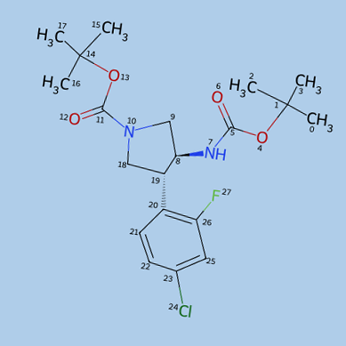 CC(C)(C)OC(=O)N[C@@H]1CN(C(=O)OC(C)(C)C)C[C@H]1c1ccc(Cl)cc1F